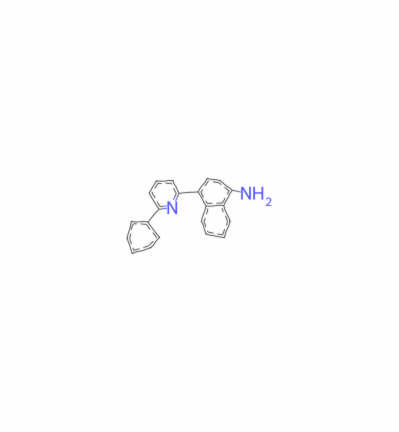 Nc1ccc(-c2cccc(-c3ccccc3)n2)c2ccccc12